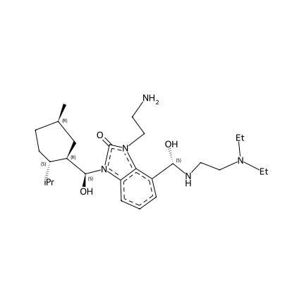 CCN(CC)CCN[C@@H](O)c1cccc2c1n(CCN)c(=O)n2[C@@H](O)[C@@H]1C[C@H](C)CC[C@H]1C(C)C